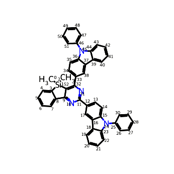 C[Si]1(C)c2ccccc2-c2nc(-c3ccc4c(c3)c3ccccc3n4-c3ccccc3)nc(-c3ccc4c(c3)c3ccccc3n4-c3ccccc3)c21